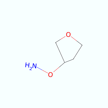 NOC1CCOC1